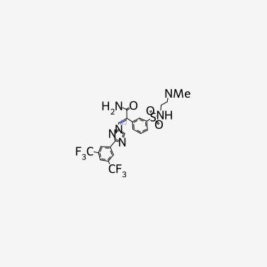 CNCCNS(=O)(=O)c1cccc(/C(=C\n2cnc(-c3cc(C(F)(F)F)cc(C(F)(F)F)c3)n2)C(N)=O)c1